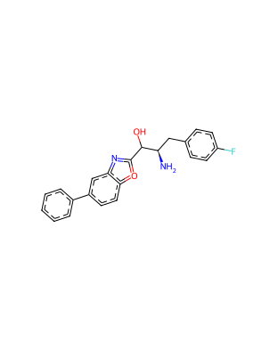 N[C@H](Cc1ccc(F)cc1)C(O)c1nc2cc(-c3ccccc3)ccc2o1